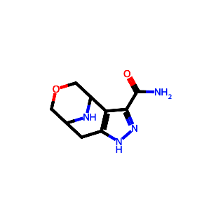 NC(=O)c1n[nH]c2c1C1COCC(C2)N1